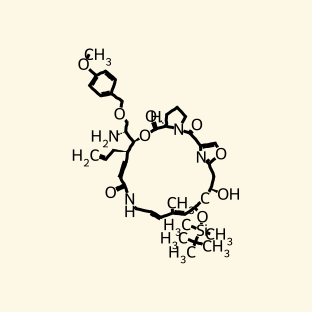 C=CC[C@@H]1/C=C/C(=O)NC/C=C/C(C)=C/C(O[Si](C)(C)C(C)(C)C)C[C@H](O)Cc2nc(co2)C(=O)N2CCC[C@@H]2C(=O)O[C@@H]1[C@H](N)COCc1ccc(OC)cc1